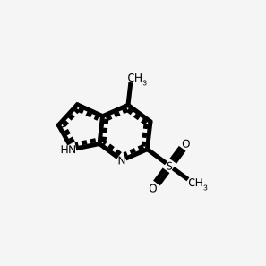 Cc1cc(S(C)(=O)=O)nc2[nH]ccc12